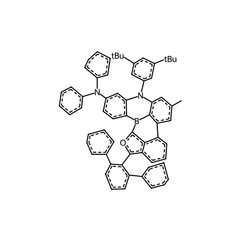 Cc1cc2c3c(c1)N(c1cc(C(C)(C)C)cc(C(C)(C)C)c1)c1cc(N(c4ccccc4)c4ccccc4)ccc1B3c1oc(-c3c(-c4ccccc4)cccc3-c3ccccc3)c3cccc-2c13